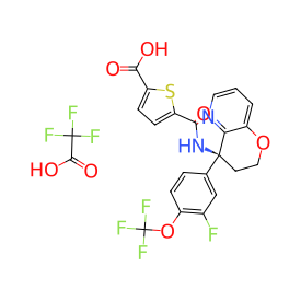 O=C(O)C(F)(F)F.O=C(O)c1ccc(C(=O)N[C@]2(c3ccc(OC(F)(F)F)c(F)c3)CCOc3cccnc32)s1